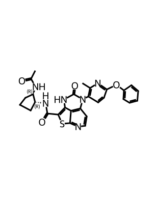 CC(=O)N[C@@H]1CCC[C@H]1NC(=O)c1sc2nccc3c2c1NC(=O)N3c1ccc(Oc2ccccc2)nc1C